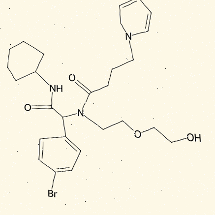 O=C(NC1CCCCC1)C(c1ccc(Br)cc1)N(CCOCCO)C(=O)CCCN1C=CC=CC1